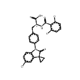 O=C(N[C@@H](Cc1ccc(N2C(=O)C3(CC3)c3cc(Cl)ccc32)cc1)C(=O)O)c1c(F)cccc1Cl